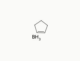 B.C1=CCCC1